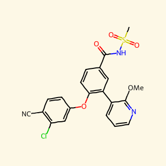 COc1ncccc1-c1cc(C(=O)NS(C)(=O)=O)ccc1Oc1ccc(C#N)c(Cl)c1